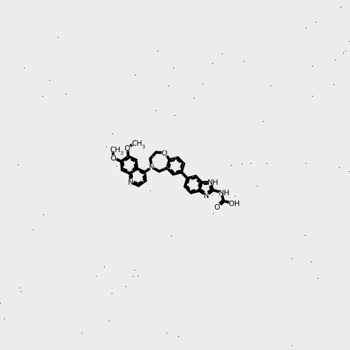 COc1cc2nccc(N3CCOc4ccc(-c5ccc6nc(NC(=O)O)[nH]c6c5)cc4C3)c2cc1OC